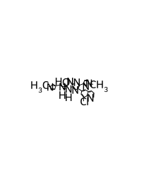 Cn1ccc(CNC(=O)Nc2nc(-c3cc(Cl)c4ncccc4c3)c(-c3ccn(C)n3)nc2N)c1